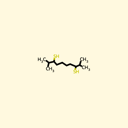 CC(C)C(S)CCCCC(S)C(C)C